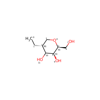 CC[C@@H]1CO[C@@H](CO)[C@@H](O)C1O